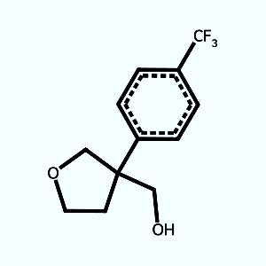 OCC1(c2ccc(C(F)(F)F)cc2)CCOC1